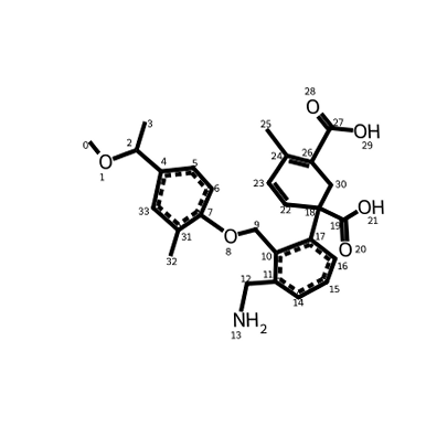 COC(C)c1ccc(OCc2c(CN)cccc2C2(C(=O)O)C=CC(C)=C(C(=O)O)C2)c(C)c1